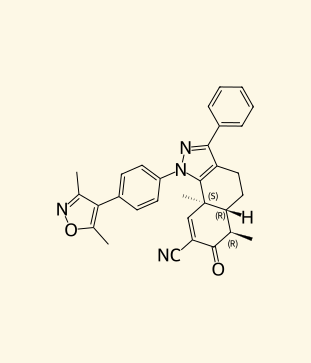 Cc1noc(C)c1-c1ccc(-n2nc(-c3ccccc3)c3c2[C@]2(C)C=C(C#N)C(=O)[C@H](C)[C@H]2CC3)cc1